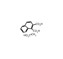 CC(=O)O.O=C(O)c1ccc2ccccc2c1C(=O)O